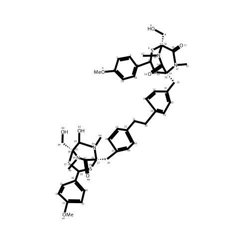 COc1ccc(C2S[C@@]3(CO)C(=O)N(C)[C@@](Cc4ccc(CCc5ccc(C[C@@]67SC(c8ccc(OC)cc8)S[C@@](CO)(C(O)N6C)N(C)C7=O)cc5)cc4)(S2)C(=O)N3C)cc1